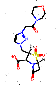 C[C@]1(Cn2cc[n+](CC(=O)N3CCOCC3)n2)[C@H](C(=O)O)N2C(=O)C[C@H]2S1(=O)=O